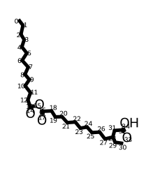 CCCCCCCCCCCCCC(=O)OC(=O)CCCCCCCCCCC(CC)CC(=O)O